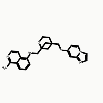 Nc1nccc2c(NCC34CC(COc5ccn6ccnc6c5)(CCO3)C4)cccc12